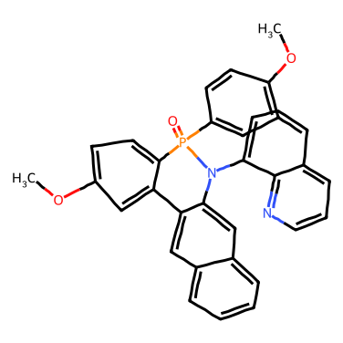 COc1ccc(P2(=O)c3ccc(OC)cc3-c3cc4ccccc4cc3N2c2cccc3cccnc23)cc1